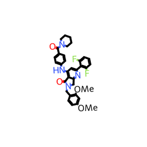 COc1ccc(CN2Cc3nc(-c4c(F)cccc4F)cc(Nc4ccc(C(=O)N5CCCCC5)cc4)c3C2=O)c(OC)c1